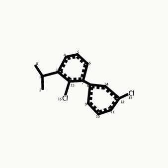 CC(C)c1cc[c]c(-c2cccc(Cl)c2)c1Cl